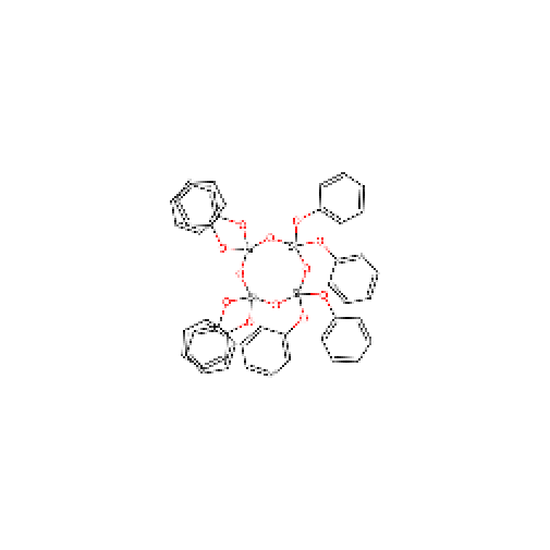 c1ccc(O[Si]2(Oc3ccccc3)O[Si](Oc3ccccc3)(Oc3ccccc3)O[Si](Oc3ccccc3)(Oc3ccccc3)O[Si](Oc3ccccc3)(Oc3ccccc3)O2)cc1